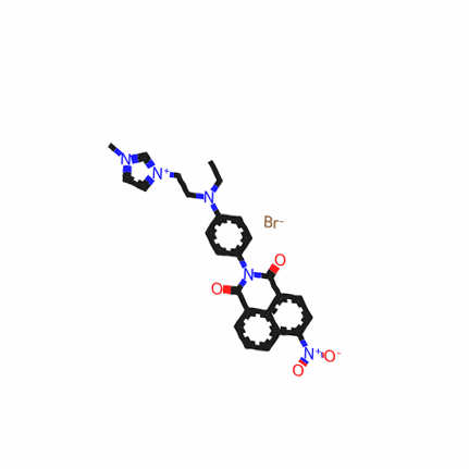 CCN(CC[n+]1ccn(C)c1)c1ccc(N2C(=O)c3cccc4c([N+](=O)[O-])ccc(c34)C2=O)cc1.[Br-]